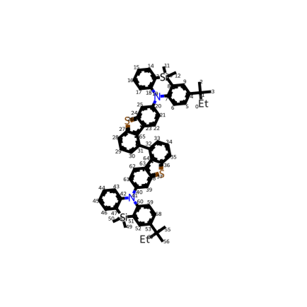 CCC(C)(C)c1ccc2c(c1)[Si](C)(C)c1ccccc1N2c1ccc2c(c1)sc1cccc(-c3cccc4sc5cc(N6c7ccccc7[Si](C)(C)c7cc(C(C)(C)CC)ccc76)ccc5c34)c12